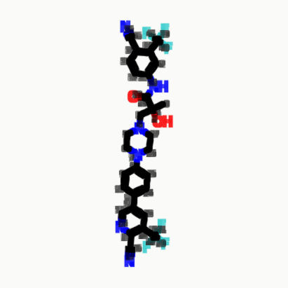 CC(O)(CN1CCN(c2ccc(-c3cnc(C#N)c(C(F)(F)F)c3)cc2)CC1)C(=O)Nc1ccc(C#N)c(C(F)(F)F)c1